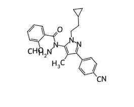 Cc1c(-c2ccc(C#N)cc2)nn(CCC2CC2)c1N(N)C(=O)c1ccccc1C=O